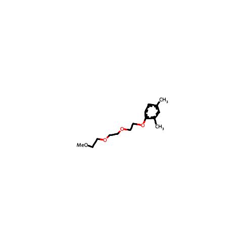 COCCOCCOCCOc1ccc(C)cc1C